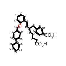 O=C(O)CCCCC(/C=C/c1ccccc1OCc1ccc(-c2ccccc2)cc1)Cc1ccc(C(=O)O)cc1